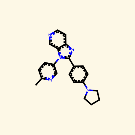 Cc1ccc(-n2c(-c3ccc(N4CCCC4)cc3)nc3ccncc32)cn1